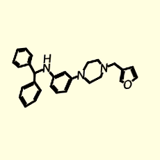 c1ccc(C(Nc2cccc(N3CCN(Cc4ccoc4)CC3)c2)c2ccccc2)cc1